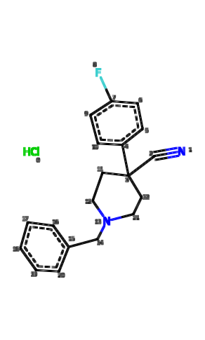 Cl.N#CC1(c2ccc(F)cc2)CCN(Cc2ccccc2)CC1